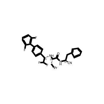 CC(C)C[C@H](N[C@@H](c1ccc(-c2c(F)cccc2F)cc1)C(F)F)C(=O)N[C@H](C#N)Cc1ccccc1